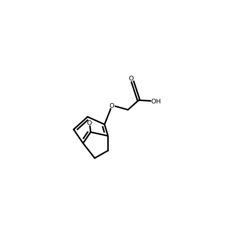 [O]c1c2ccc(OCC(=O)O)c1CC2